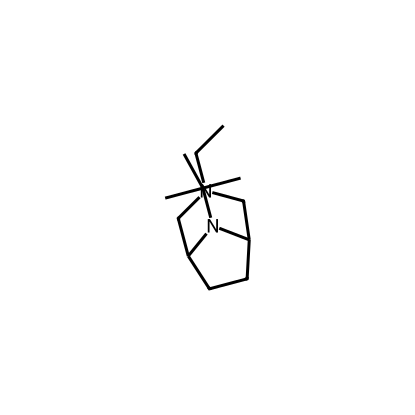 CCN1CC2CCC(C1)N2C(C)(C)C